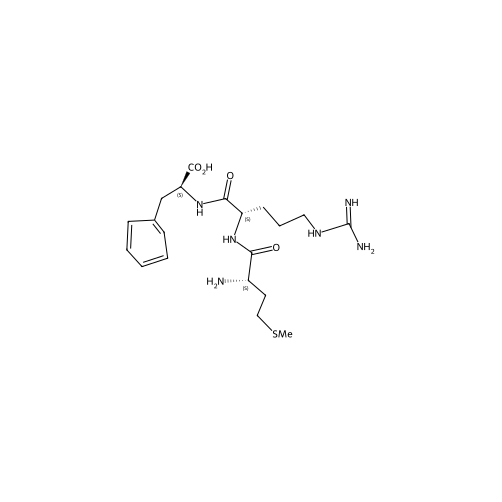 CSCC[C@H](N)C(=O)N[C@@H](CCCNC(=N)N)C(=O)N[C@@H](Cc1ccccc1)C(=O)O